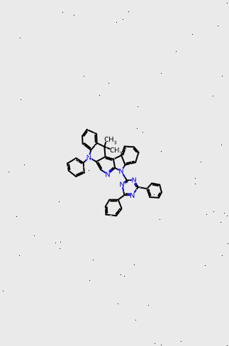 CC1(C)c2ccccc2N(c2ccccc2)c2cnc3c(c21)c1ccccc1n3-c1nc(-c2ccccc2)nc(-c2ccccc2)n1